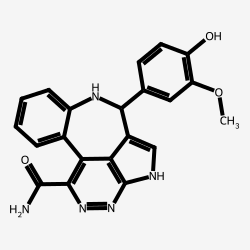 COc1cc(C2Nc3ccccc3-c3c(C(N)=O)nnc4[nH]cc2c34)ccc1O